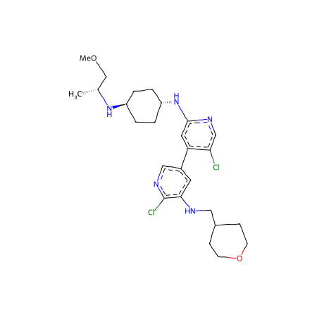 COC[C@@H](C)N[C@H]1CC[C@H](Nc2cc(-c3cnc(Cl)c(NCC4CCOCC4)c3)c(Cl)cn2)CC1